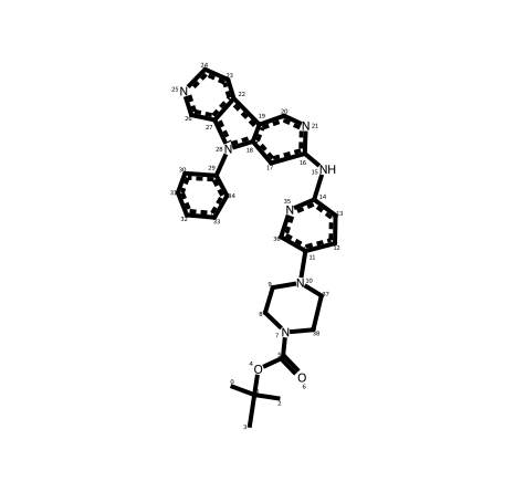 CC(C)(C)OC(=O)N1CCN(c2ccc(Nc3cc4c(cn3)c3ccncc3n4-c3ccccc3)nc2)CC1